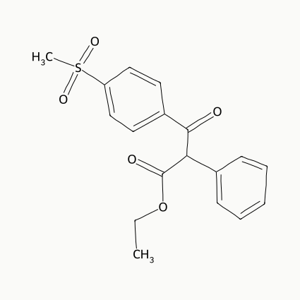 CCOC(=O)C(C(=O)c1ccc(S(C)(=O)=O)cc1)c1ccccc1